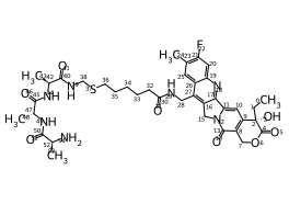 CC[C@@]1(O)C(=O)OCc2c1cc1n(c2=O)Cc2c-1nc1cc(F)c(C)cc1c2CNC(=O)CCCCCSCNC(=O)[C@H](C)NC(=O)[C@@H](C)NC(=O)[C@H](C)N